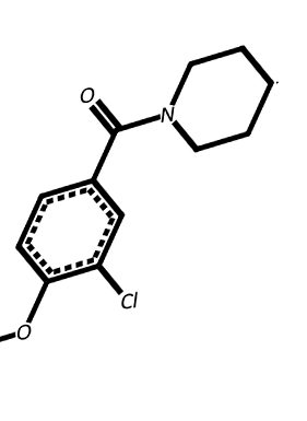 COc1ccc(C(=O)N2CC[CH]CC2)cc1Cl